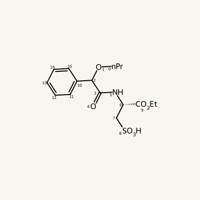 CCCOC(C(=O)N[C@@H](CS(=O)(=O)O)C(=O)OCC)c1ccccc1